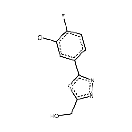 OCc1nnc(-c2ccc(F)c(Cl)c2)s1